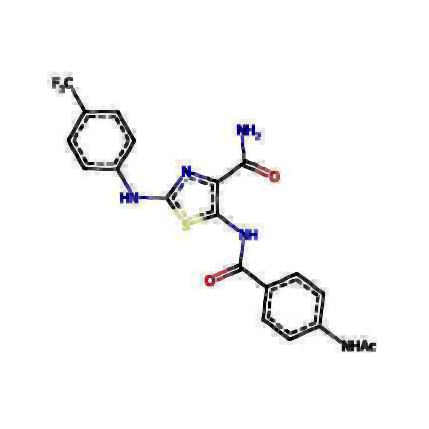 CC(=O)Nc1ccc(C(=O)Nc2sc(Nc3ccc(C(F)(F)F)cc3)nc2C(N)=O)cc1